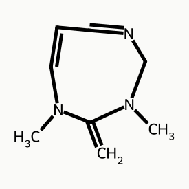 C=C1N(C)/C=C\C=N/CN1C